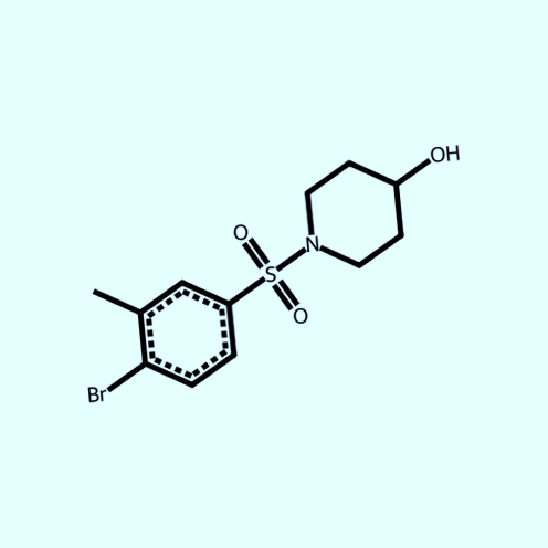 Cc1cc(S(=O)(=O)N2CCC(O)CC2)ccc1Br